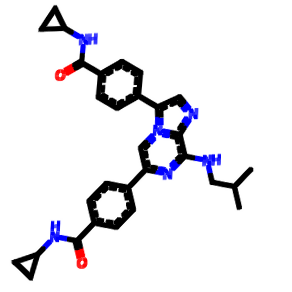 CC(C)CNc1nc(-c2ccc(C(=O)NC3CC3)cc2)cn2c(-c3ccc(C(=O)NC4CC4)cc3)cnc12